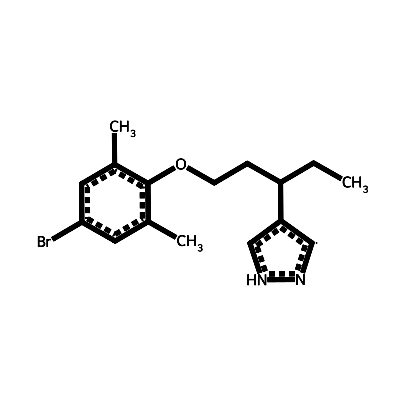 CCC(CCOc1c(C)cc(Br)cc1C)c1[c]n[nH]c1